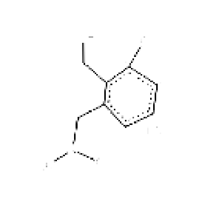 Br.CCc1c(O)cccc1CN(C)C